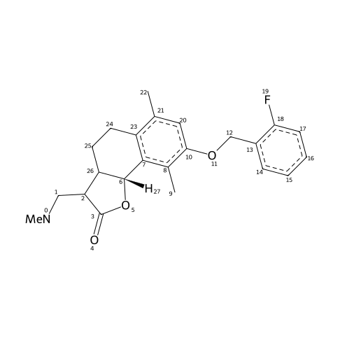 CNCC1C(=O)O[C@H]2c3c(C)c(OCc4ccccc4F)cc(C)c3CCC12